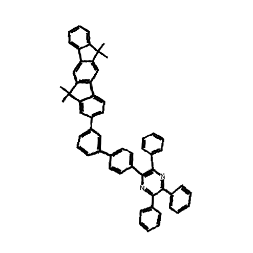 CC1(C)c2ccccc2-c2cc3c(cc21)-c1ccc(-c2cccc(-c4ccc(-c5nc(-c6ccccc6)c(-c6ccccc6)nc5-c5ccccc5)cc4)c2)cc1C3(C)C